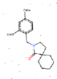 COc1ccc(CN2CCC3(CCCCC3)C2=O)c(OC)c1